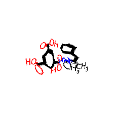 CN[C@@H](C)Cc1ccccc1.O=C(O)c1cc(C(=O)O)cc(C(=O)O)c1